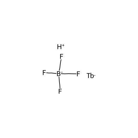 F[B-](F)(F)F.[H+].[Tb]